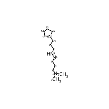 CN(C)CCC[N]NCCCN1CCCC1